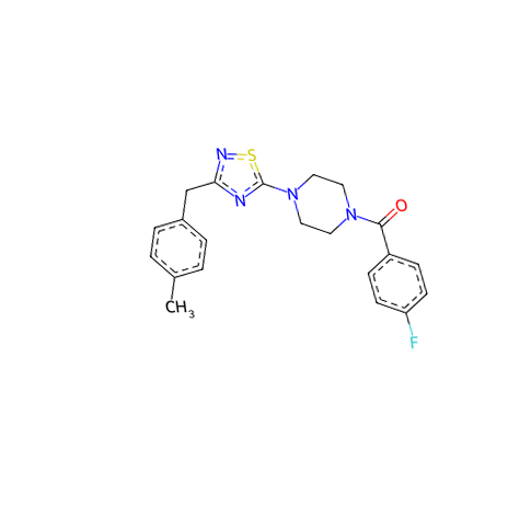 Cc1ccc(Cc2nsc(N3CCN(C(=O)c4ccc(F)cc4)CC3)n2)cc1